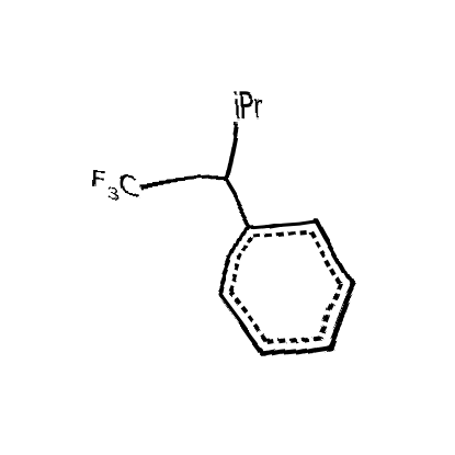 CC(C)C(c1ccccc1)C(F)(F)F